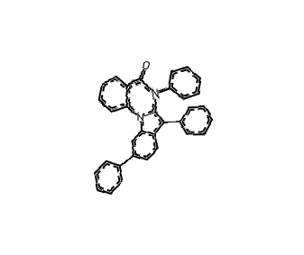 O=c1c2ccccc2n2c3cc(-c4ccccc4)ccc3c(-c3ccccc3)c2n1-c1ccccc1